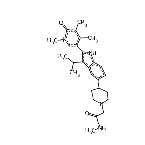 CNC(=O)CN1CCC(c2ccc3[nH]c(-c4cn(C)c(=O)c(C)c4C)c(C(C)C)c3c2)CC1